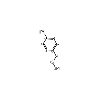 CC(C)SCc1ccc(C(C)C)cc1